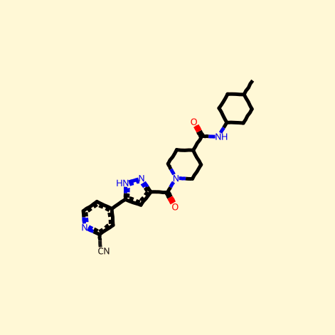 CC1CCC(NC(=O)C2CCN(C(=O)c3cc(-c4ccnc(C#N)c4)[nH]n3)CC2)CC1